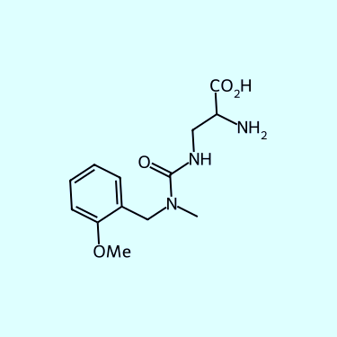 COc1ccccc1CN(C)C(=O)NCC(N)C(=O)O